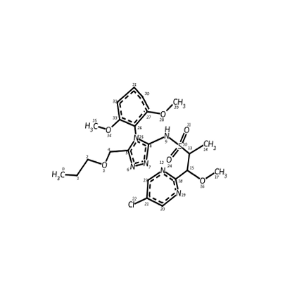 CCCOCc1nnc(NS(=O)(=O)C(C)C(OC)c2ncc(Cl)cn2)n1-c1c(OC)cccc1OC